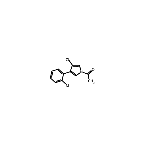 CC(=O)n1cc(Cl)c(-c2ccccc2Cl)c1